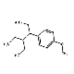 CCC(CO)C(CC)c1ccc(OC)cc1